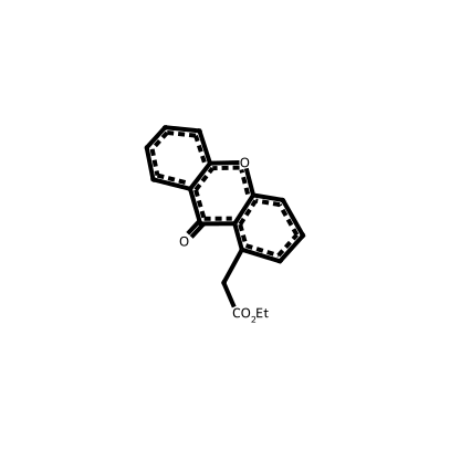 CCOC(=O)Cc1cccc2oc3ccccc3c(=O)c12